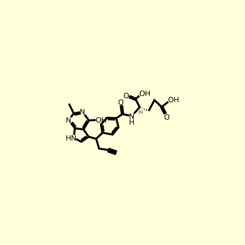 C#CCC(c1ccc(C(=O)N[C@@H](CCC(=O)O)C(=O)O)cc1)c1c[nH]c2nc(C)nc(O)c12